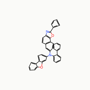 c1ccc(-c2nc3ccc4cc(N(c5ccc6c(c5)oc5ccccc56)c5ccccc5-c5ccccc5)ccc4c3o2)cc1